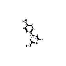 C/C=C/[C@H](CC(=O)O)c1ccc(O)cc1